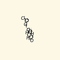 C[C@H]1C[C@H]2SC(=O)C=C[C@]2(C)[C@H]2CC[C@]3(C)C[C@@H](CCOc4cccc(Cl)c4)C[C@H]3[C@H]12